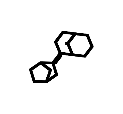 [C]1C2CCCC1C(=C1CC3CCC1C3)CC2